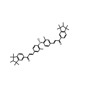 Cc1cc(C=CC(=O)c2ccc3c(c2)C(C)(C)C(C)C3(C)C)ccc1[S+]([O-])c1ccc(C=CC(=O)c2ccc3c(c2)C(C)(C)C(C)C3(C)C)cc1C